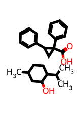 CC1CCC(C(C)C)C(O)C1.O=C(O)C1(c2ccccc2)CC1c1ccccc1